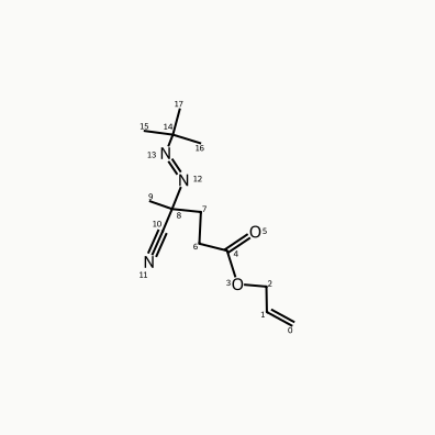 C=CCOC(=O)CCC(C)(C#N)N=NC(C)(C)C